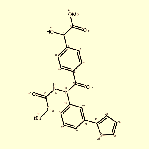 COC(=O)C(O)c1ccc(C(=O)N(NC(=O)OC(C)(C)C)c2cccc(-c3cccs3)c2)cc1